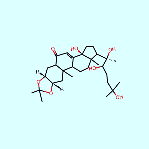 CC(C)(O)CC[C@@H](O)[C@](C)(O)C1CC[C@@]2(O)C3=CC(=O)C4C[C@H]5OC(C)(C)O[C@H]5CC4(C)C3CCC12C